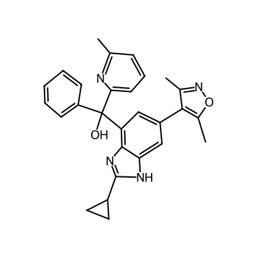 Cc1cccc(C(O)(c2ccccc2)c2cc(-c3c(C)noc3C)cc3[nH]c(C4CC4)nc23)n1